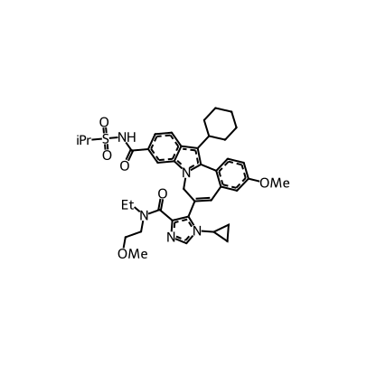 CCN(CCOC)C(=O)c1ncn(C2CC2)c1C1=Cc2cc(OC)ccc2-c2c(C3CCCCC3)c3ccc(C(=O)NS(=O)(=O)C(C)C)cc3n2C1